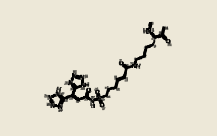 CN[C@@H](CCCCNC(=O)CCCCCS(=O)(=O)NC(=O)CC(c1nnn[nH]1)c1nnn[nH]1)C(C)=O